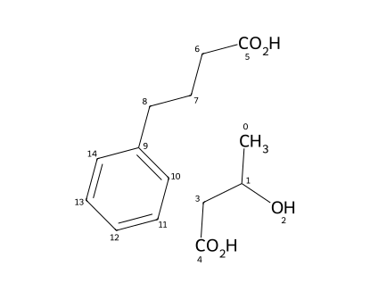 CC(O)CC(=O)O.O=C(O)CCCc1ccccc1